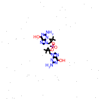 CC1(C)CC1(Cn1cnc2c(O)nc(N)nc21)OP(C)(=O)OC1(Cn2cnc3c(O)nc(N)nc32)CC1(C)C